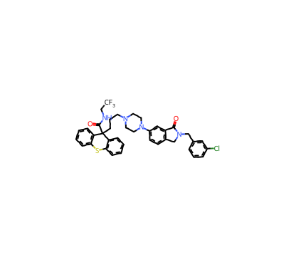 O=C1c2cc(N3CCN(CCCC4(C(=O)NCC(F)(F)F)c5ccccc5Sc5ccccc54)CC3)ccc2CN1Cc1cccc(Cl)c1